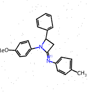 COc1ccc(N2/C(=N/c3ccc(C)cc3)CC2c2ccccc2)cc1